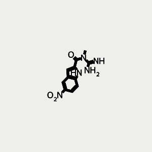 CN(C(=N)N)C(=O)c1cc2cc([N+](=O)[O-])ccc2[nH]1